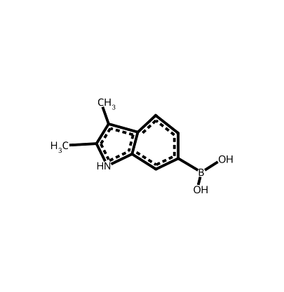 Cc1[nH]c2cc(B(O)O)ccc2c1C